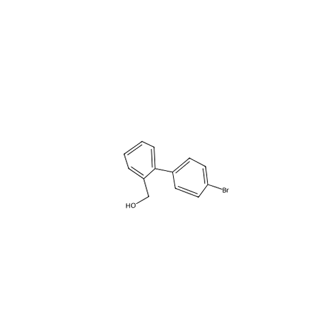 OCc1ccccc1-c1ccc(Br)cc1